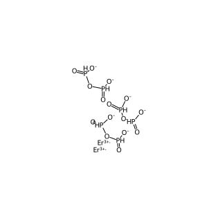 O=[PH]([O-])O[PH](=O)[O-].O=[PH]([O-])O[PH](=O)[O-].O=[PH]([O-])O[PH](=O)[O-].[Er+3].[Er+3]